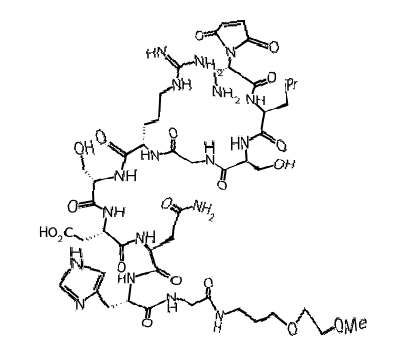 COCCOCCCNC(=O)CNC(=O)[C@H](Cc1c[nH]cn1)NC(=O)[C@H](CC(N)=O)NC(=O)[C@H](CC(=O)O)NC(=O)[C@H](CO)NC(=O)[C@H](CCCNC(=N)N)NC(=O)CNC(=O)[C@H](CO)NC(=O)[C@H](CC(C)C)NC(=O)[C@H](CN)N1C(=O)C=CC1=O